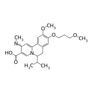 CN=c1cc2n(cc1C(=O)O)C(C(C)C)Cc1cc(OCCCOC)c(OC)cc1-2